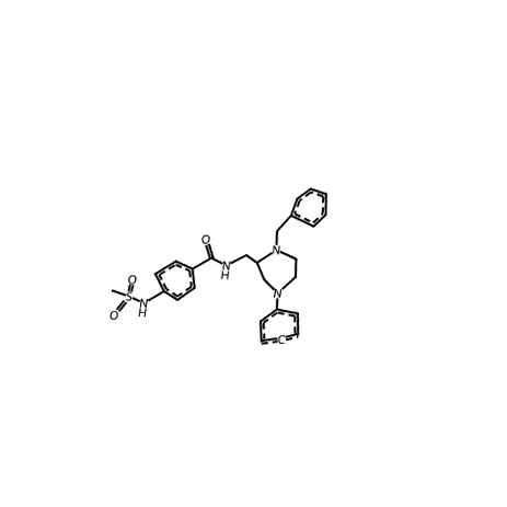 CS(=O)(=O)Nc1ccc(C(=O)NCC2CN(c3ccccc3)CCN2Cc2ccccc2)cc1